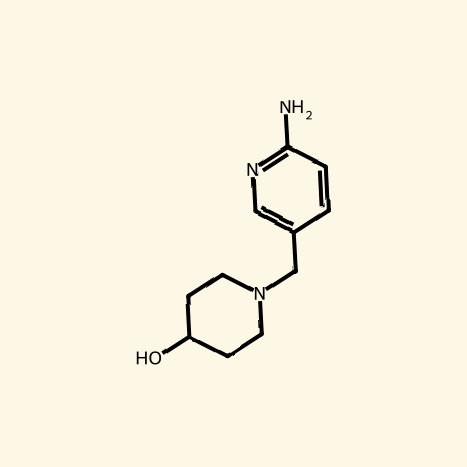 Nc1ccc(CN2CCC(O)CC2)cn1